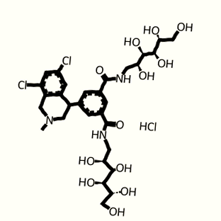 CN1Cc2c(Cl)cc(Cl)cc2C(c2cc(C(=O)NC[C@H](O)[C@@H](O)[C@H](O)[C@H](O)CO)cc(C(=O)NC[C@H](O)[C@@H](O)[C@H](O)[C@H](O)CO)c2)C1.Cl